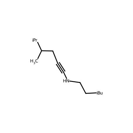 CCC(C)CCNC#CCC(C)C(C)C